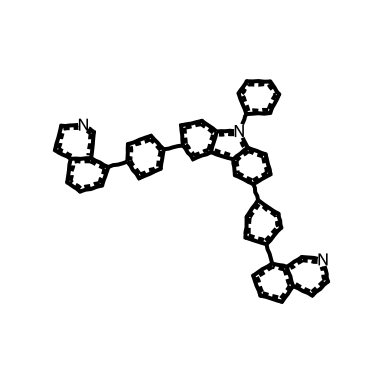 c1ccc(-n2c3ccc(-c4ccc(-c5cccc6ccncc56)cc4)cc3c3cc(-c4ccc(-c5cccc6ccncc56)cc4)ccc32)cc1